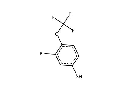 FC(F)(F)Oc1ccc(S)cc1Br